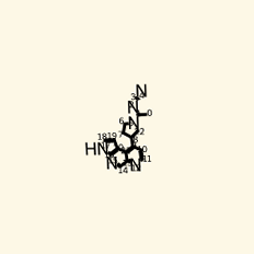 C/C(=N\C#N)N1CCC(c2ccnc3cnc4[nH]ccc4c23)C1